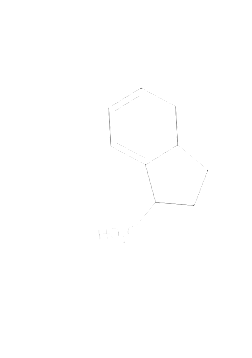 O=C(O)C1CCC2CC=CC=C21